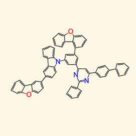 c1ccc(-c2ccc(-c3cc(-c4cc(-c5cccc6oc7ccccc7c56)cc(-n5c6ccccc6c6cc(-c7ccc8oc9ccccc9c8c7)ccc65)c4)nc(-c4ccccc4)n3)cc2)cc1